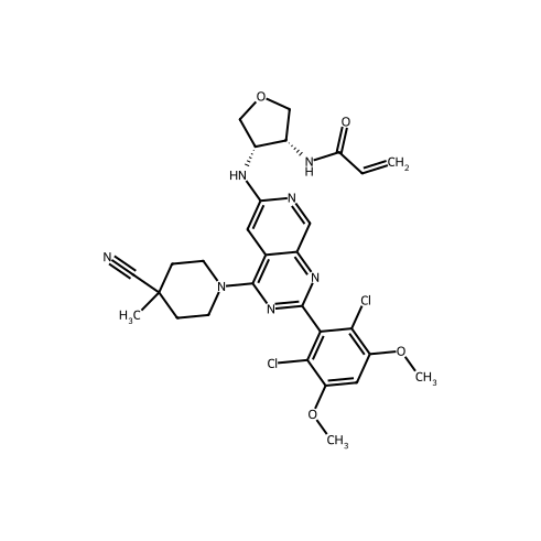 C=CC(=O)N[C@H]1COC[C@H]1Nc1cc2c(N3CCC(C)(C#N)CC3)nc(-c3c(Cl)c(OC)cc(OC)c3Cl)nc2cn1